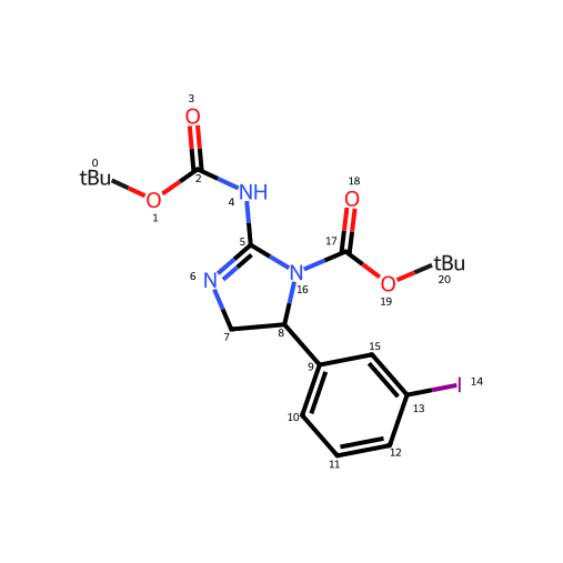 CC(C)(C)OC(=O)NC1=NCC(c2cccc(I)c2)N1C(=O)OC(C)(C)C